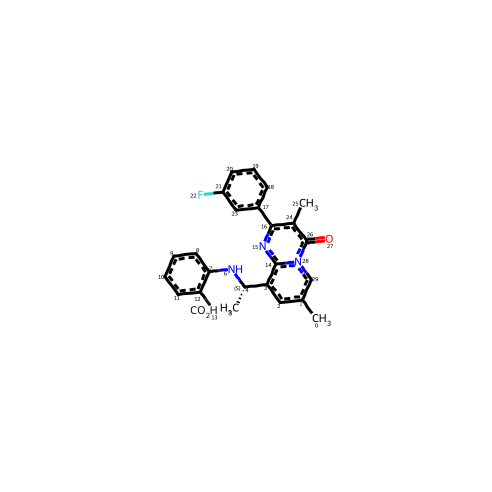 Cc1cc([C@H](C)Nc2ccccc2C(=O)O)c2nc(-c3cccc(F)c3)c(C)c(=O)n2c1